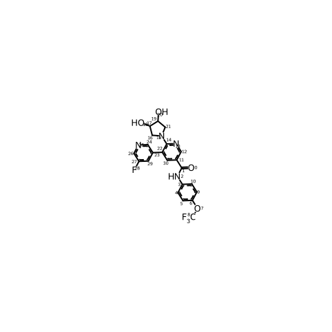 O=C(Nc1ccc(OC(F)(F)F)cc1)c1cnc(N2CC(O)C(O)C2)c(-c2cncc(F)c2)c1